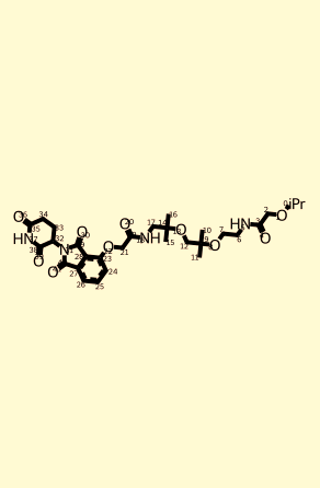 CC(C)OCC(=O)NCCOC(C)(C)COC(C)(C)CNC(=O)COc1cccc2c1C(=O)N(C1CCC(=O)NC1=O)C2=O